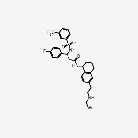 CC(C)CNCCc1ccc2c(c1)CCC[C@H]2NC(=O)C[C@@H](NS(=O)(=O)c1cccc(C(F)(F)F)c1)c1ccc(F)cc1